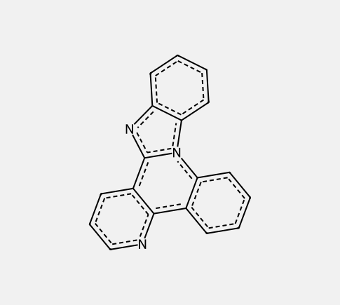 c1ccc2c(c1)nc1c3cccnc3c3ccccc3n21